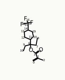 C=C(C)C(=O)OC(CC)(CC)C1CCC(C(F)(F)F)CC1